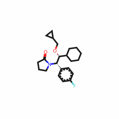 O=C1CCCN1[C@@H](c1ccc(F)cc1)[C@H](OCC1CC1)C1CCCCC1